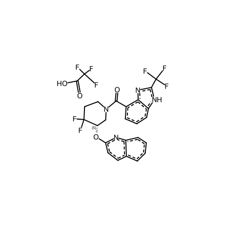 O=C(O)C(F)(F)F.O=C(c1cccc2[nH]c(C(F)(F)F)nc12)N1CCC(F)(F)[C@@H](Oc2ccc3ccccc3n2)C1